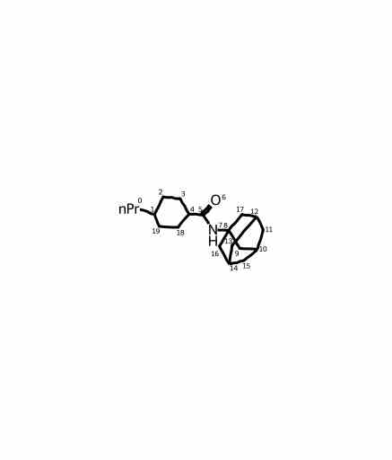 CCCC1CCC(C(=O)NC23CC4CC(CC(C4)C2)C3)CC1